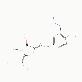 CCCCn1c(=C(C#N)C(=O)OCC)sc(=CNc2ccc(O)c(CN(CC)CC)c2)c1=O